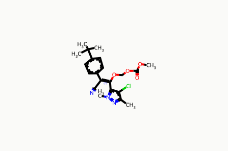 COC(=O)OCO/C(=C(/C#N)c1ccc(C(C)(C)C)cc1)c1c(Cl)c(C)nn1C